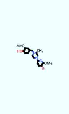 COc1cc(CN2CCN(c3ccc(Br)c(OC)n3)CC2C)ccc1O